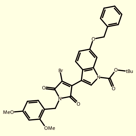 COc1ccc(CN2C(=O)C(Br)=C(c3cn(C(=O)OC(C)(C)C)c4cc(OCc5ccccc5)ccc34)C2=O)c(OC)c1